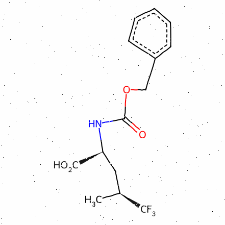 C[C@@H](C[C@H](NC(=O)OCc1ccccc1)C(=O)O)C(F)(F)F